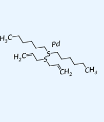 C=CCSCC=C.CCCCCCSCCCCCC.[Pd]